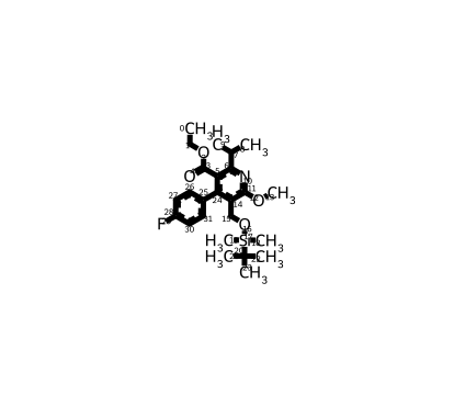 CCOC(=O)c1c(C(C)C)nc(OC)c(CO[Si](C)(C)C(C)(C)C)c1-c1ccc(F)cc1